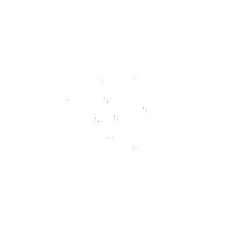 CC(C)(C)OC(=O)N(CC1(c2ncccc2F)CC(F)C1)c1ncc(Br)cn1